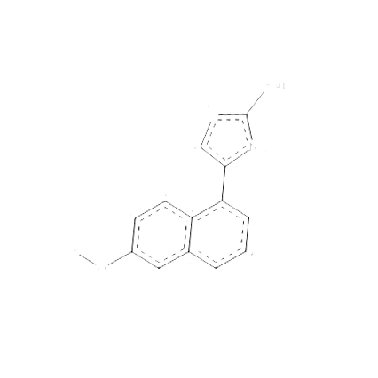 CCOc1ccc2c(-c3csc(C(C)(C)C)n3)cccc2c1